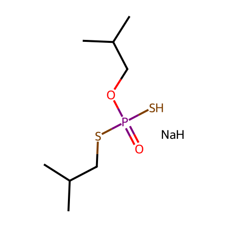 CC(C)COP(=O)(S)SCC(C)C.[NaH]